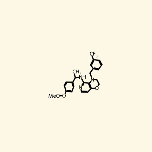 COOc1ccc(C(C)Nc2nccc3c2N(Cc2cccc(C(F)(F)F)c2)CCO3)cc1